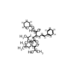 CC(C)C[C@@H](C(=O)NN(CC(C)C)C(=O)C(C)O)[C@H](CC=Cc1ccccc1)C(=O)NOC1CCCCO1